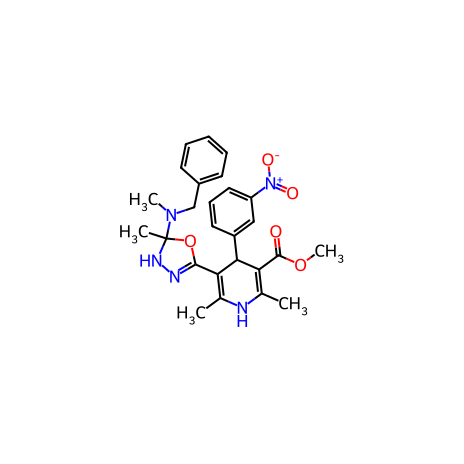 COC(=O)C1=C(C)NC(C)=C(C2=NNC(C)(N(C)Cc3ccccc3)O2)C1c1cccc([N+](=O)[O-])c1